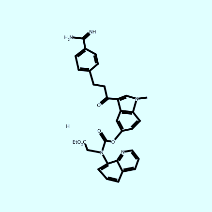 CCOC(=O)CN(C(=O)Oc1ccc2c(c1)c(C(=O)CCc1ccc(C(=N)N)cc1)cn2C)c1cccc2cccnc12.I